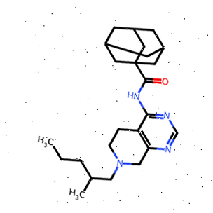 CCCC(C)CN1CCc2c(ncnc2NC(=O)C23CC4CC(CC(C4)C2)C3)C1